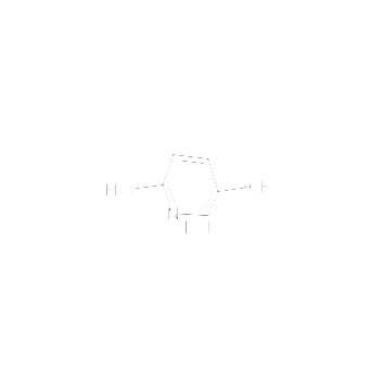 Oc1ccc(C(F)(F)F)cn1.[LiH]